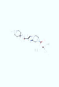 CC1(NC(=O)c2cn3c(n2)CN(C(=O)OC(C)(C)C)CC3)CCNCC1